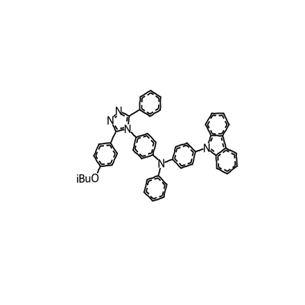 CC(C)COc1ccc(-c2nnc(-c3ccccc3)n2-c2ccc(N(c3ccccc3)c3ccc(-n4c5ccccc5c5ccccc54)cc3)cc2)cc1